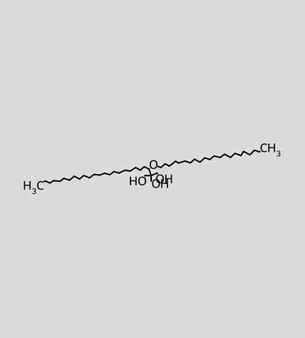 CCCCCCCCCCCCCCCCCCCCCCOC(CCCCCCCCCCCCCCCCCCCCCC)C(CO)(CO)CO